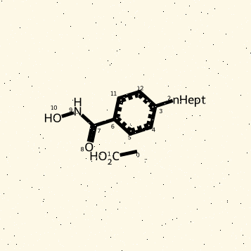 CC(=O)O.CCCCCCCc1ccc(C(=O)NO)cc1